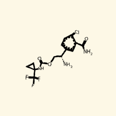 NC(=O)c1cc([C@H](N)COC(=O)NC2(C(F)(F)F)CC2)ccc1Cl